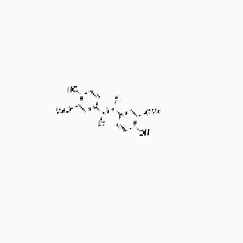 CC/C(=C(/CC)c1ccc(O)c(OC)c1)c1ccc(O)c(OC)c1